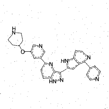 c1cc(-c2nccc3[nH]c(-c4n[nH]c5ccc(-c6cncc(OC7CCNCC7)c6)nc45)cc23)ccn1